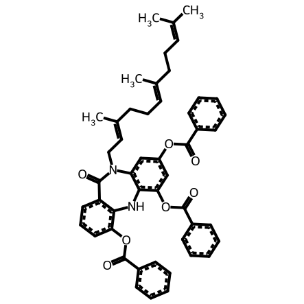 CC(C)=CCC/C(C)=C/CC/C(C)=C/CN1C(=O)c2cccc(OC(=O)c3ccccc3)c2Nc2c(OC(=O)c3ccccc3)cc(OC(=O)c3ccccc3)cc21